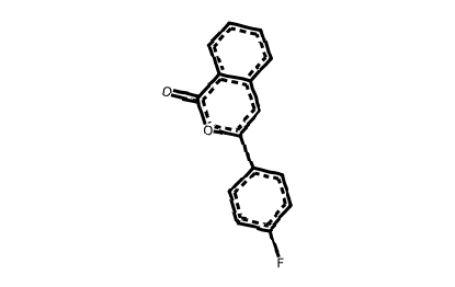 O=c1oc(-c2ccc(F)cc2)cc2ccccc12